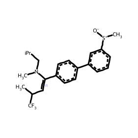 CC(C)CN(C)/C(=C\C(C)C(F)(F)F)c1ccc(-c2cccc([S+](C)[O-])c2)cc1